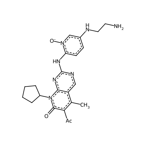 CC(=O)c1c(C)c2cnc(Nc3ccc(NCCN)c[n+]3[O-])nc2n(C2CCCC2)c1=O